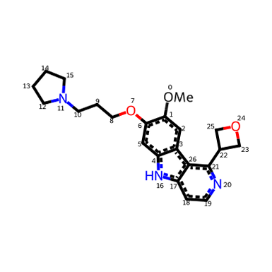 COc1cc2c(cc1OCCCN1CCCC1)[nH]c1ccnc(C3COC3)c12